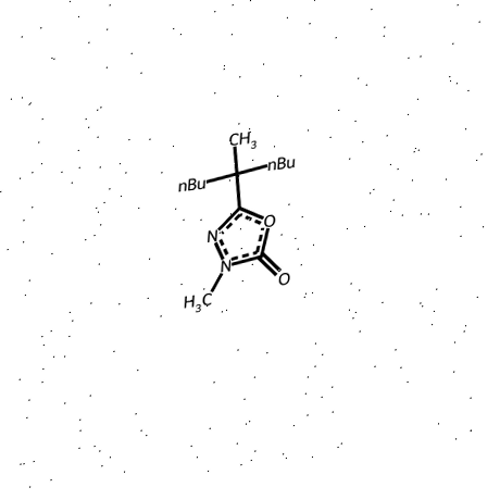 CCCCC(C)(CCCC)c1nn(C)c(=O)o1